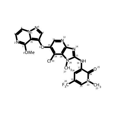 COc1nccn2ncc(Oc3cnc4nc(Nc5cc(C(F)(F)F)cn(C)c5=O)n(C)c4c3Cl)c12